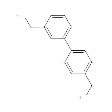 CCc1[c]cc(-c2cccc(CC)c2)cc1